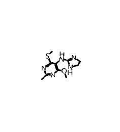 COc1nc(C)nc(SC)c1NC1=NCCN1